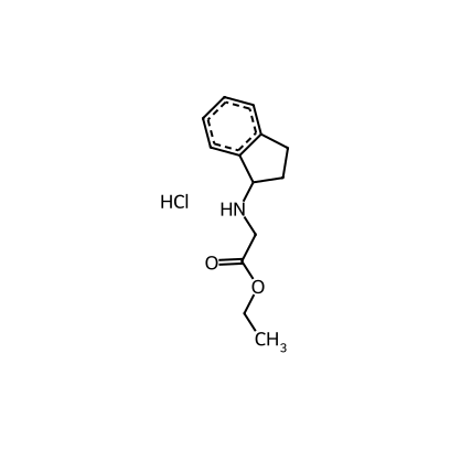 CCOC(=O)CNC1CCc2ccccc21.Cl